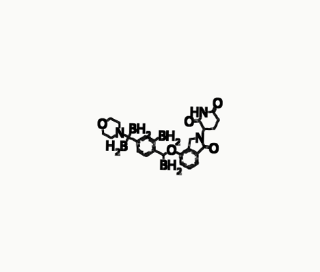 Bc1cc(C(B)(B)N2CCOCC2)ccc1C(B)Oc1cccc2c1CN(C1CCC(=O)NC1=O)C2=O